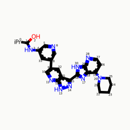 CC(C)C(O)Nc1cncc(-c2cnc3[nH]nc(-c4nc5c(N6CCCCC6)ccnc5[nH]4)c3c2)c1